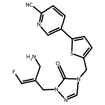 N#Cc1ccc(-c2ccc(Cn3cnn(C/C(=C/F)CN)c3=O)s2)cn1